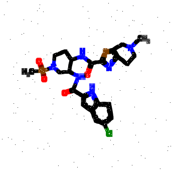 CN1CCc2nc(C(=O)NC3CCN(S(C)(=O)=O)CC3NC(=O)c3cc4cc(Cl)ccc4[nH]3)sc2C1